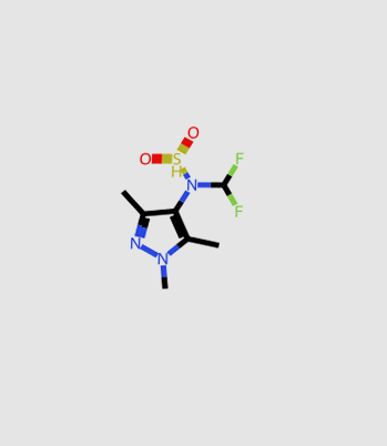 Cc1nn(C)c(C)c1N(C(F)F)[SH](=O)=O